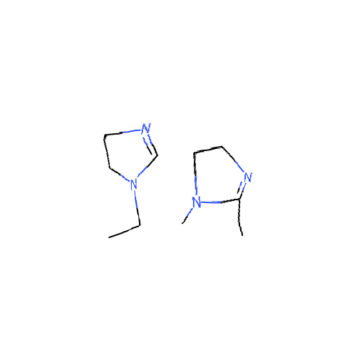 CC1=NCCN1C.CCN1C=NCC1